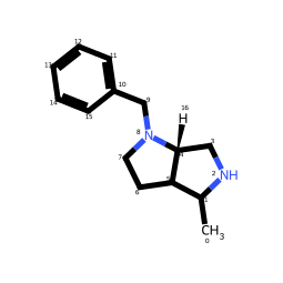 CC1NC[C@@H]2C1CCN2Cc1ccccc1